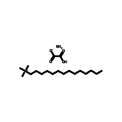 CCCCCCCCCCCCCC[N+](C)(C)C.N.O=C([O-])C(=O)O